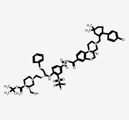 CC1(C)CCC(c2ccc(Cl)cc2)=C(CN2CCN3c4ccc(C(=O)NS(=O)(=O)c5ccc(N[C@H](CCN6CCN(C(=O)OC(C)(C)C)[C@H](CO)C6)CSc6ccccc6)c(S(=O)(=O)C(F)(F)F)c5)cc4OC[C@@H]3C2)C1